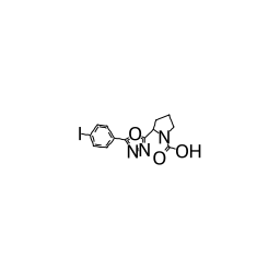 O=C(O)N1CCCC1c1nnc(-c2ccc(I)cc2)o1